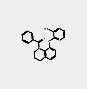 O=C(c1ccccc1)N1CCCc2cccc(Oc3ncccc3[N+](=O)[O-])c21